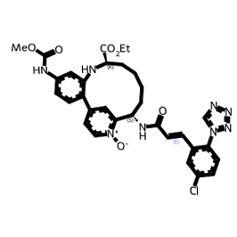 CCOC(=O)[C@H]1CCCC[C@H](NC(=O)/C=C/c2cc(Cl)ccc2-n2cnnn2)c2cc(cc[n+]2[O-])-c2ccc(NC(=O)OC)cc2N1